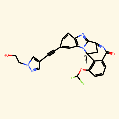 O=C1N=C2C[C@H](c3c(OC(F)F)cccc31)n1c2nc2ccc(C#Cc3cnn(CCO)c3)cc21